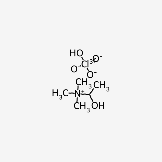 CC(O)[N+](C)(C)C.[O-][Cl+3]([O-])([O-])O